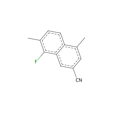 Cc1ccc2c(C)cc(C#N)cc2c1F